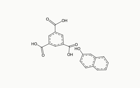 O=C(O)c1cc(C(=O)O)cc(C(=O)O)c1.Oc1ccc2ccccc2c1